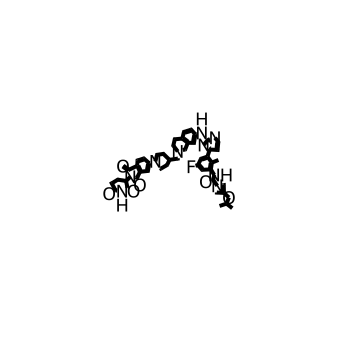 Cc1c(NC(=O)N2CC(OC(C)C)C2)cc(F)cc1-c1ccnc(Nc2ccc3c(c2)CN(CC2CCN(c4ccc5c(c4)C(=O)N(C4CCC(=O)NC4=O)C5=O)CC2)CC3)n1